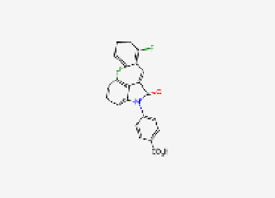 O=C(O)c1ccc(N2C(=O)/C(=C/c3c(F)cccc3F)c3c(F)cccc32)cc1